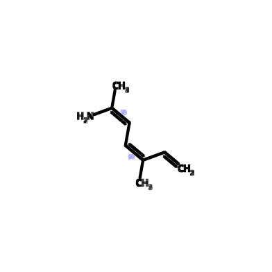 C=C/C(C)=C\C=C(\C)N